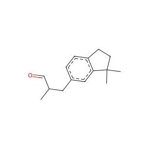 CC(C=O)Cc1ccc2c(c1)C(C)(C)CC2